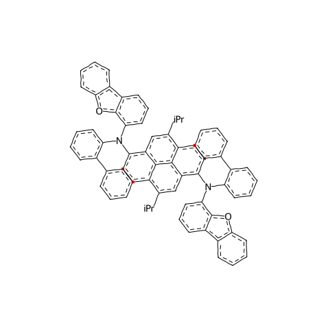 CC(C)c1cc2c(N(c3ccccc3-c3ccccc3)c3cccc4c3oc3ccccc34)ccc3c(C(C)C)cc4c(N(c5ccccc5-c5ccccc5)c5cccc6c5oc5ccccc56)ccc1c4c32